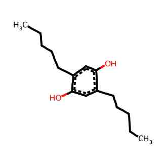 CCCCCc1cc(O)c(CCCCC)cc1O